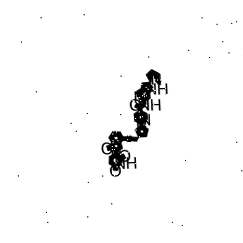 CN1CCC[C@@H]1c1cc2cnc(NC(=O)c3ccc(N4CC[C@@H](CC#Cc5cccc6c5CN(C5CCC(=O)NC5=O)C6=O)C4)nc3)cc2[nH]1